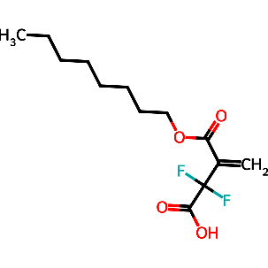 C=C(C(=O)OCCCCCCCC)C(F)(F)C(=O)O